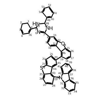 C1=CCCC(C2N=C(c3ccc4c(c3)oc3cccc(-c5ccc6sc7cccc(-n8c9ccccc9c9ccccc98)c7c6c5)c34)NC(c3ccccc3)N2)=C1